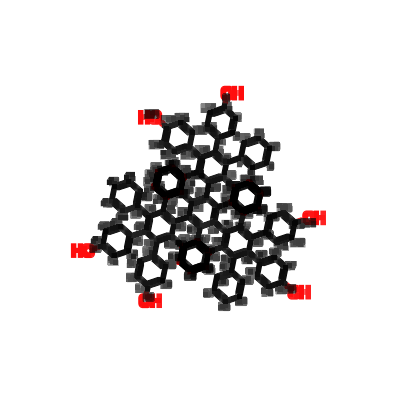 Oc1ccc(-c2c(-c3ccccc3)c(-c3ccccc3)c(-c3c(-c4ccccc4)c(-c4c(-c5ccccc5)c(-c5ccccc5)c(-c5ccc(O)cc5)c(-c5ccc(O)cc5)c4-c4ccccc4)c(-c4ccccc4)c(-c4c(-c5ccccc5)c(-c5ccccc5)c(-c5ccc(O)cc5)c(-c5ccc(O)cc5)c4-c4ccccc4)c3-c3ccccc3)c(-c3ccccc3)c2-c2ccc(O)cc2)cc1